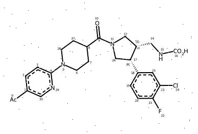 CC(=O)c1ccc(N2CCC(C(=O)N3C[C@H](CNC(=O)O)[C@H](c4ccc(F)c(Cl)c4)C3)CC2)nc1